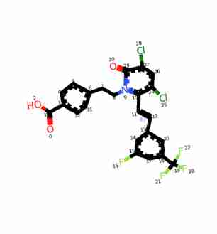 O=C(O)c1ccc(CCn2c(/C=C/c3cc(F)cc(C(F)(F)F)c3)c(Cl)cc(Cl)c2=O)cc1